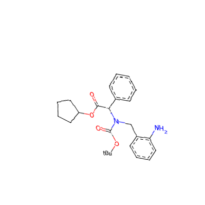 CC(C)(C)OC(=O)N(Cc1ccccc1N)C(C(=O)OC1CCCC1)c1ccccc1